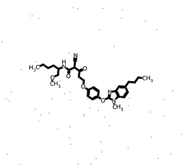 CCCCc1ccc2c(c1)nc(Oc1ccc(OCCC(=O)C(C#N)C(=O)NC(CCCC)COC)cc1)n2C